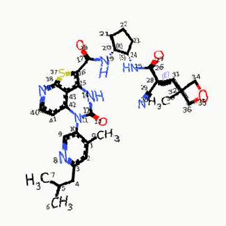 Cc1cc(CC(C)C)ncc1N1C(=O)Nc2c(C(=O)N[C@@H]3CCC[C@@H]3NC(=O)/C(C#N)=C/C3(C)COC3)sc3nccc1c23